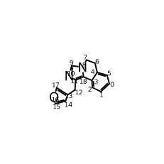 c1ccc2c(c1)CCn1cnc(Cc3ccoc3)c1-2